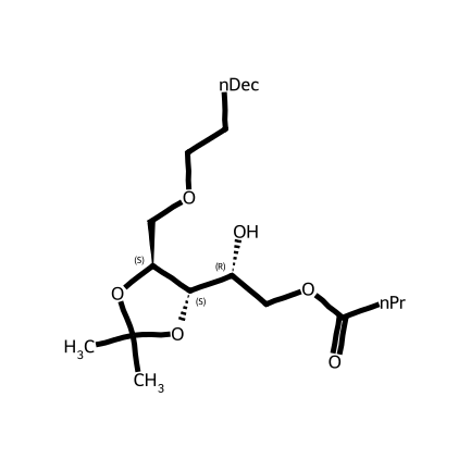 CCCCCCCCCCCCOC[C@@H]1OC(C)(C)O[C@H]1[C@H](O)COC(=O)CCC